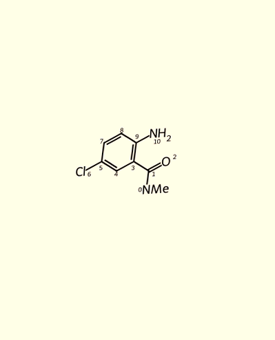 CNC(=O)c1cc(Cl)ccc1N